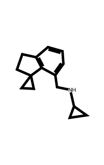 c1cc2c(c(CNC3CC3)c1)C1(CC2)CC1